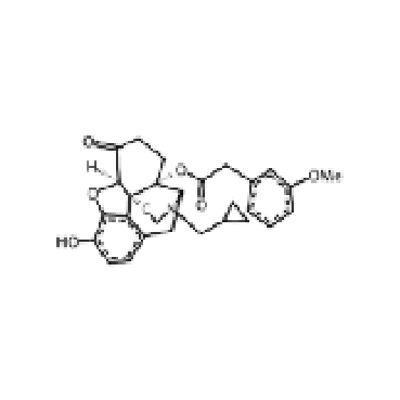 COc1cccc(CC(=O)O[C@@]23CCC(=O)[C@@H]4Oc5c(O)ccc6c5[C@@]42CCN(CC2CC2)C3C6)c1